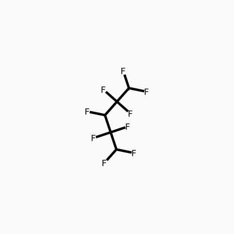 F[C](F)C(F)(F)C(F)C(F)(F)C(F)F